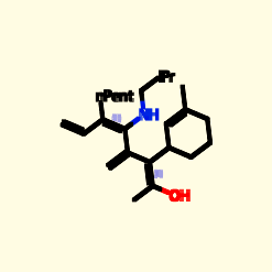 C=C/C(CCCCC)=C(/NCC(C)C)C(=C)/C(=C(\C)O)C1C=C(C)CCC1